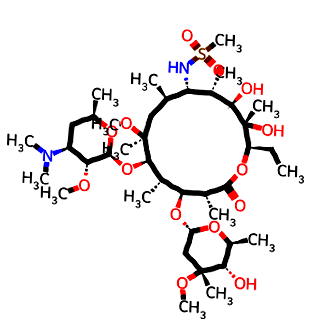 CC[C@H]1OC(=O)[C@H](C)[C@@H](O[C@H]2C[C@@](C)(OC)[C@@H](O)[C@H](C)O2)[C@H](C)[C@@H](O[C@@H]2O[C@H](C)C[C@H](N(C)C)[C@H]2OC)[C@@](C)(OC)C[C@@H](C)[C@H](NS(C)(=O)=O)[C@H](C)[C@@H](O)[C@]1(C)O